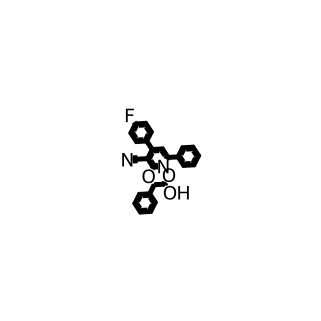 N#Cc1c(-c2ccc(F)cc2)cc(-c2ccccc2)nc1OC(C(=O)O)c1ccccc1